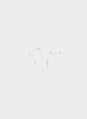 C1=CC2=NC=NC2C=C1.[NaH]